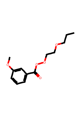 CCCOC[CH]OOC(=O)c1cccc(OC)c1